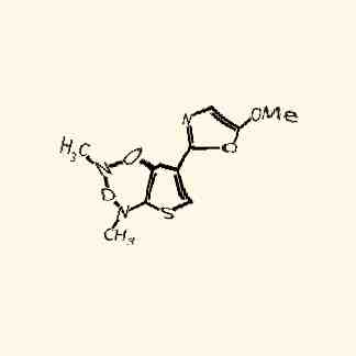 COc1cnc(-c2csc3c2on(C)on3C)o1